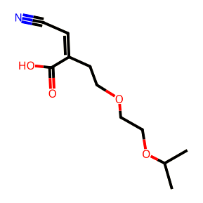 CC(C)OCCOCCC(=CC#N)C(=O)O